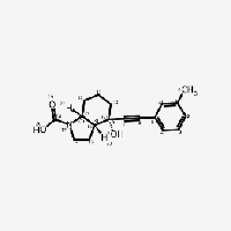 Cc1cccc(C#C[C@]2(O)CCC[C@@H]3[C@H]2CCN3C(=O)O)c1